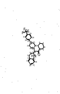 O=C(C1CCCCC1)C(C1CCc2ccccc2N1)N1CCN(c2ccc(C(F)(F)F)cc2)CC1